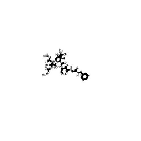 CC(C)CC(NC(=O)[C@@H]1[C@@H]2[C@H](CN1C(=O)C(NC(=O)OC(C)(C)C)(NC(=O)OC(C)(C)C)C(C)(C)C)C2(C)C)C(=O)C(=O)NCC(=O)NCc1ccccc1